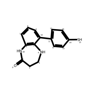 O=C1CCNc2c(cccc2-c2ccc(S)cc2)N1